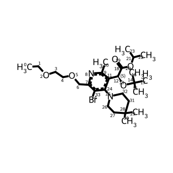 CCOCCOCc1nc(C)c([C@H](OC(C)(C)C)C(=O)OC(C)C)c(N2CCC(C)(C)CC2)c1Br